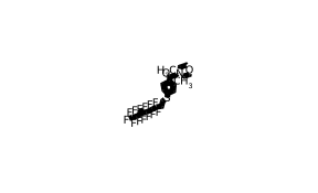 CC(C)(C(=O)c1ccc(SCCC(F)(F)C(F)(F)C(F)(F)C(F)(F)C(F)(F)C(F)(F)F)cc1)N1CCOCC1